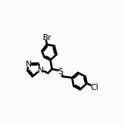 Clc1ccc(CSC(Cn2ccnc2)c2ccc(Br)cc2)cc1